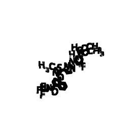 Cc1nc(Oc2ccc(C(=O)NCC(F)(F)F)c3ccccc23)c(-c2ccnc(N[C@H]3C[C@H](F)CN(C(=O)OC(C)(C)C)C3)n2)s1